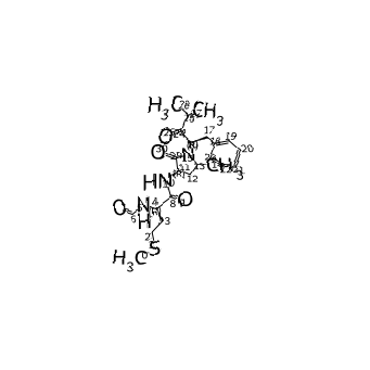 CSCC[C@@H](NC=O)C(=O)N[C@@H]1CC(C)N([C@H](Cc2ccccc2)C(=O)C(C)C)C1=O